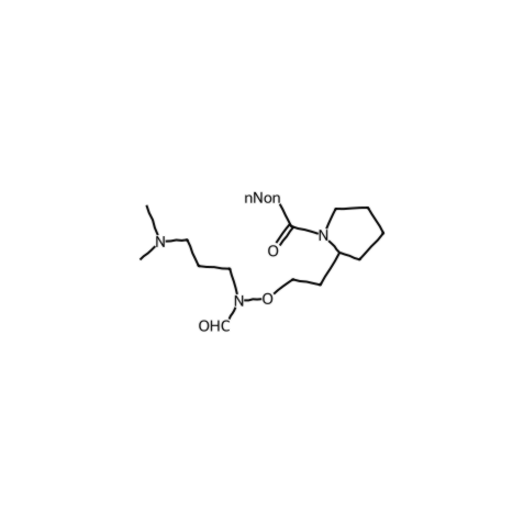 CCCCCCCCCC(=O)N1CCCCC1CCON(C=O)CCCN(C)C